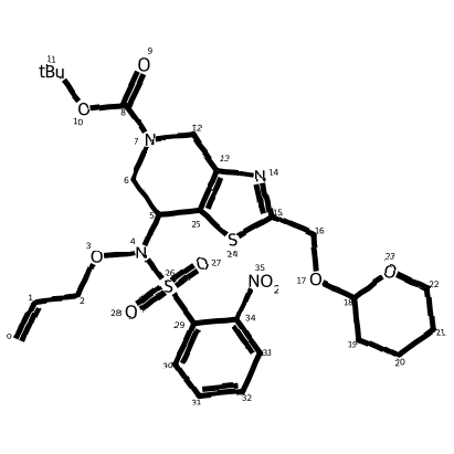 C=CCON(C1CN(C(=O)OC(C)(C)C)Cc2nc(COC3CCCCO3)sc21)S(=O)(=O)c1ccccc1[N+](=O)[O-]